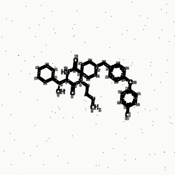 CCCCN1C(=O)[C@@H]([C@H](O)C2CCCCC2)NC(=O)C12CCN(Cc1ccc(Oc3ccc(Cl)cc3)cc1)CC2